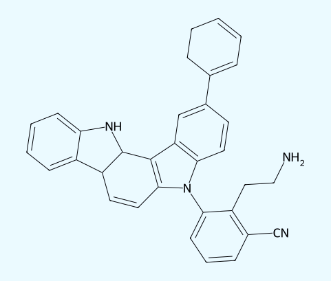 N#Cc1cccc(-n2c3c(c4cc(C5=CC=CCC5)ccc42)C2Nc4ccccc4C2C=C3)c1CCN